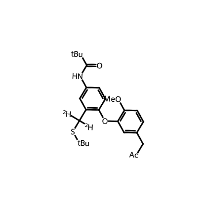 [2H]C([2H])(SC(C)(C)C)c1cc(NC(=O)C(C)(C)C)ccc1Oc1cc(CC(C)=O)ccc1OC